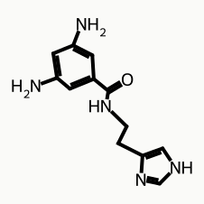 Nc1cc(N)cc(C(=O)NCCc2c[nH]cn2)c1